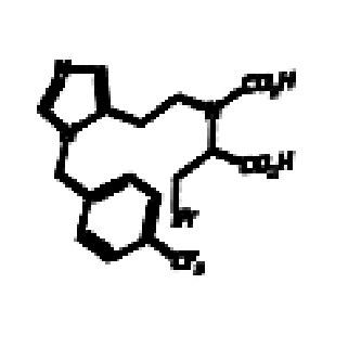 CC(C)CC(C(=O)O)N(CCc1cncn1Cc1ccc(C(F)(F)F)cc1)C(=O)O